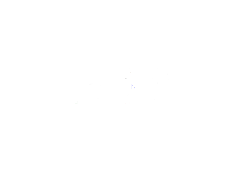 O=C(O)C(Cc1ccccc1)N1C(=O)C(=Cc2cccc(Br)c2)SC1=S